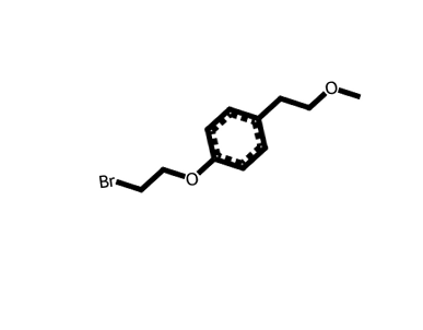 COCCc1ccc(OCCBr)cc1